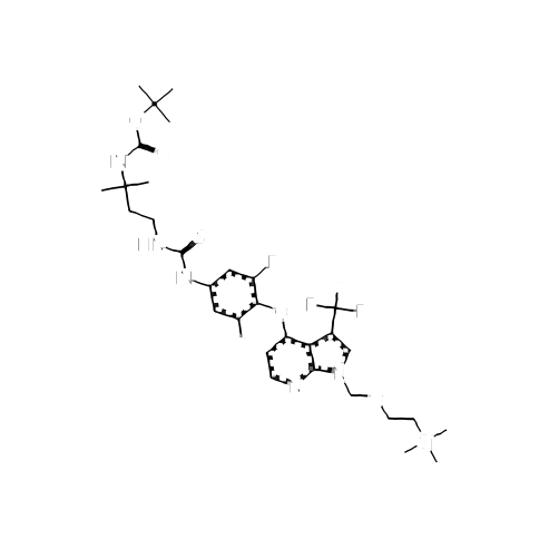 CC(C)(CCNC(=S)Nc1cc(F)c(Oc2ccnc3c2c(C(F)(F)F)cn3COCC[Si](C)(C)C)c(F)c1)NC(=O)OC(C)(C)C